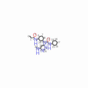 C=CC(=O)Nc1cccc(N(C(=O)Nc2ccccc2)c2cc(NC)ncn2)c1